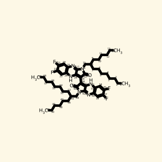 CCCCCCCCC(CCCCCC)Cn1c2nc3cc(F)c(F)cc3[nH]c-2c(-c2c3[nH]c4cc(F)c(F)cc4nc-3n(CC(CCCCCC)CCCCCCCC)c2=O)c1=O